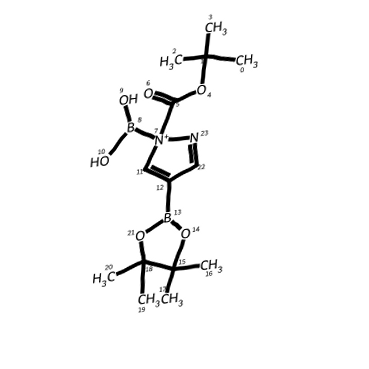 CC(C)(C)OC(=O)[N+]1(B(O)O)C=C(B2OC(C)(C)C(C)(C)O2)C=N1